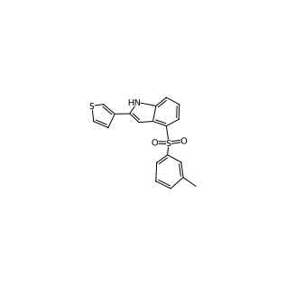 Cc1cccc(S(=O)(=O)c2cccc3[nH]c(-c4ccsc4)cc23)c1